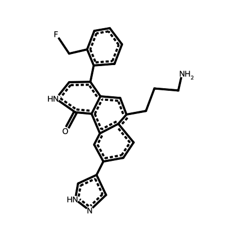 NCCCc1cc2c(-c3ccccc3CF)c[nH]c(=O)c2c2cc(-c3cn[nH]c3)ccc12